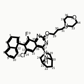 Fc1c(-c2cccc3ccccc23)c(Cl)cc2c(N3CC4CCC(C3)N4)nc(OCCCN3CCOCC3)nc12